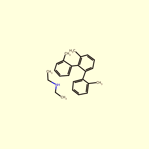 CCNCC.Cc1ccccc1-c1cccc(C)c1-c1ccccc1C